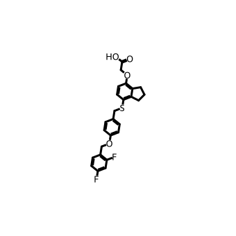 O=C(O)COc1ccc(SCc2ccc(OCc3ccc(F)cc3F)cc2)c2c1CCC2